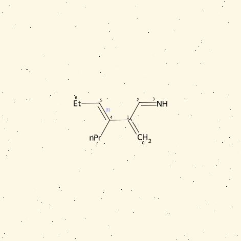 C=C(C=N)/C(=C/CC)CCC